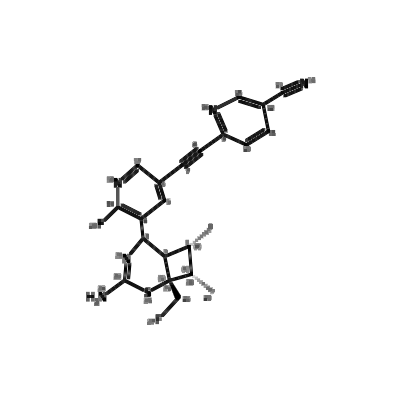 C[C@H]1C2C(c3cc(C#Cc4ccc(C#N)cn4)cnc3F)N=C(N)S[C@@]2(CF)[C@H]1C